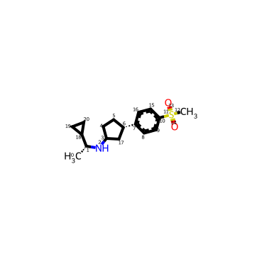 C[C@@H](NC1CC[C@H](c2ccc(S(C)(=O)=O)cc2)C1)C1CC1